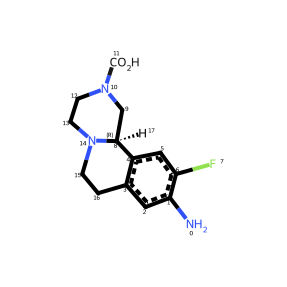 Nc1cc2c(cc1F)[C@@H]1CN(C(=O)O)CCN1CC2